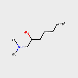 CCCCCCCCCCC(O)CN(CC)CC